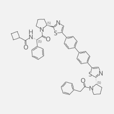 O=C(N[C@H](C(=O)N1CCC[C@H]1c1ncc(-c2ccc(-c3ccc(-c4cnc([C@@H]5CCCN5C(=O)Cc5ccccc5)s4)cc3)cc2)s1)c1ccccc1)C1CCC1